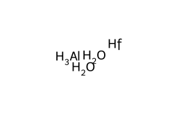 O.O.[AlH3].[Hf]